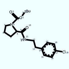 CC(C)(C)OC(=O)N1CCCC1C(=O)NCCc1ccc(Cl)cc1